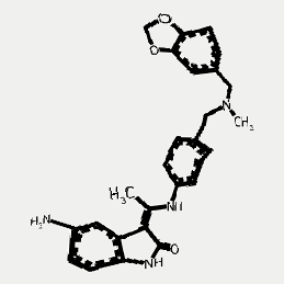 CC(Nc1ccc(CN(C)Cc2ccc3c(c2)OCO3)cc1)=C1C(=O)Nc2ccc(N)cc21